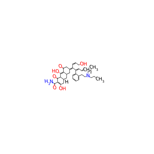 C=C/C=C(C(/C=C\CO)=C1/CC(=O)C2=C(O)C3C(=O)C(C(N)=O)=C(O)C[C@@H]3CC2C1)\c1ccccc1CCN(CCC)CCC